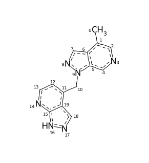 Cc1cncc2c1cnn2Cc1ccnc2[nH]ncc12